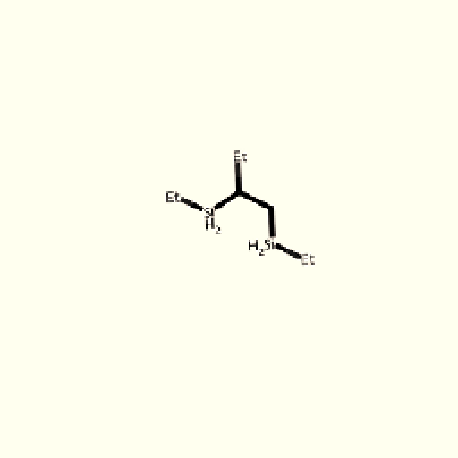 CC[SiH2]CC(CC)[SiH2]CC